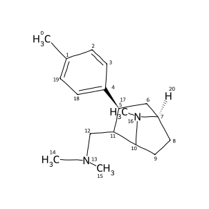 Cc1ccc([C@H]2C[C@H]3CCC(C2CN(C)C)N3C)cc1